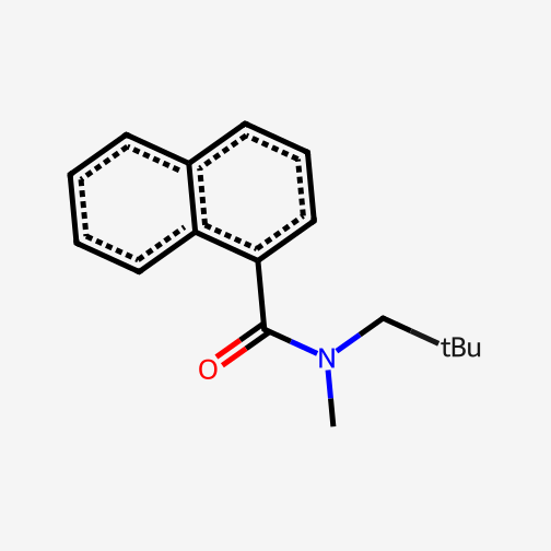 CN(CC(C)(C)C)C(=O)c1cccc2ccccc12